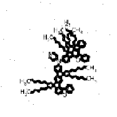 CCCCCCCCC1(CCCCCCCC)c2cc(N(c3ccncc3)c3ccc4c(c3)C(CCCCCCC)(CCCCCCC)c3c5c(c6c(oc7ccccc76)c3-4)-c3ccccc3C5(CCCCCCC)CCCCCCC)ccc2-c2cc3c(cc21)-c1c(ccc2oc4ccccc4c12)C3(CCCCCCCC)CCCCCCCC